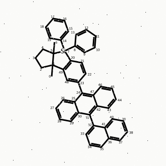 CC12CCCC1(C)[Si](c1ccccc1)(c1ccccc1)c1ccc(-c3c4ccccc4c(-c4cccc5ccccc45)c4ccccc34)cc12